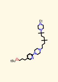 CCN1CCN(C(C)(C)CCC(C)(C)CCCN2CCN(c3ccc(CCCOC(C)(C)C)cn3)CC2)CC1